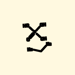 O=P(O)(O)O.[Na][CH2][Na]